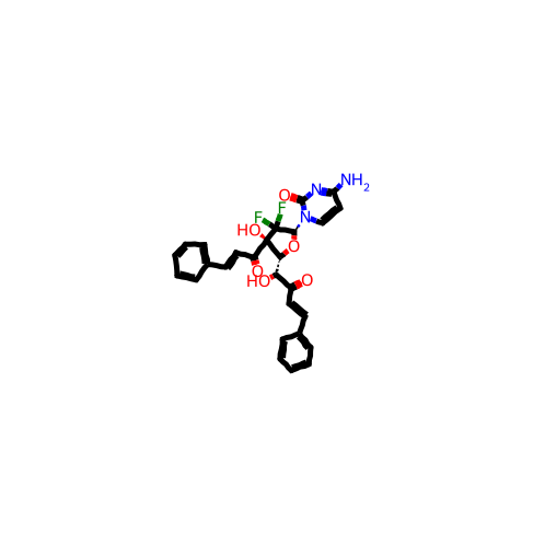 Nc1ccn([C@@H]2O[C@H](C(O)C(=O)C=Cc3ccccc3)[C@](O)(C(=O)C=Cc3ccccc3)C2(F)F)c(=O)n1